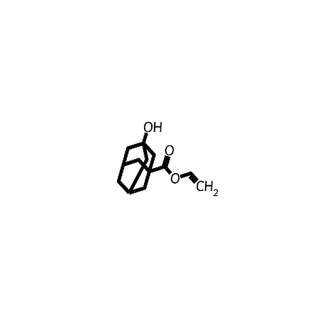 C=COC(=O)C12CC3CC(CC(O)(C3)C1)C2